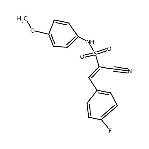 COc1ccc(NS(=O)(=O)C(C#N)=Cc2ccc(F)cc2)cc1